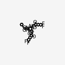 O=C1C(=Cc2nc3c4nn(C(=O)OCc5ccccc5)nc4c4nc(C=C5C(=O)c6cc7cc(F)c(F)cc7cc6C5=O)sc4c3s2)C(=O)c2cc3cc(F)c(F)cc3cc21